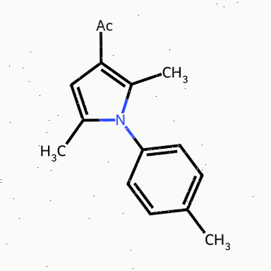 CC(=O)c1cc(C)n(-c2ccc(C)cc2)c1C